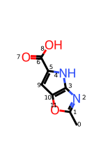 Cc1nc2[nH]c(C(=O)O)cc2o1